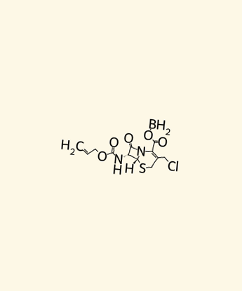 BOC(=O)C1=C(CCl)CS[C@@H]2[C@H](NC(=O)OCC=C)C(=O)N12